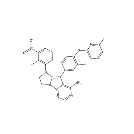 Cc1cccc(Oc2ccc(-c3c4n(c5ncnc(N)c35)CCN4c3cccc([N+](=O)[O-])c3C)cc2F)n1